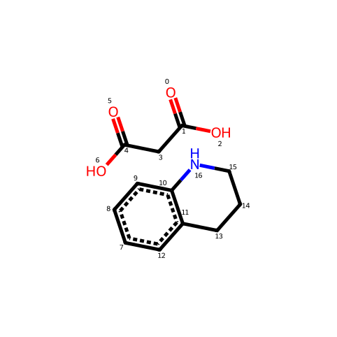 O=C(O)CC(=O)O.c1ccc2c(c1)CCCN2